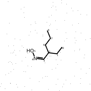 [CH2]CC(/C=N\O)CCC